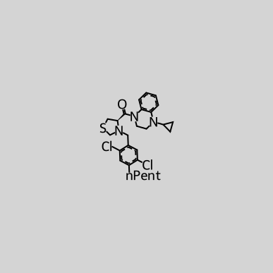 CCCCCc1cc(Cl)c(CN2CSC[C@H]2C(=O)N2CCN(C3CC3)c3ccccc32)cc1Cl